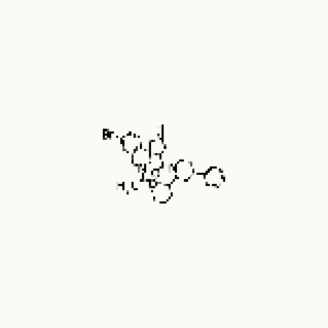 CC(=O)N1Cc2cc(Br)ccc2[C@@]2(CNC[C@H]2C(=O)N2CC[C@@H](c3ccccc3)C[C@H]2C2CCCCC2)C1